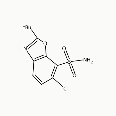 CC(C)(C)c1nc2ccc(Cl)c(S(N)(=O)=O)c2o1